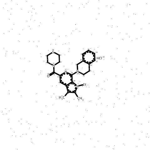 CCn1c(C)c(C)c2cc(C(=O)N3CCSCC3)nc(N3CCc4ccccc4C3)c21.Cl